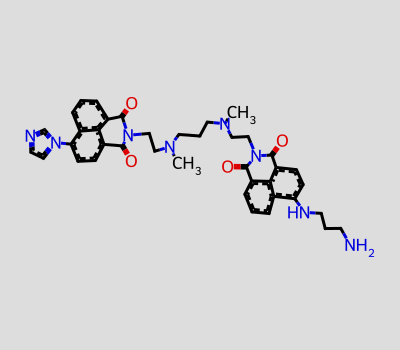 CN(CCCN(C)CCN1C(=O)c2cccc3c(-n4ccnc4)ccc(c23)C1=O)CCN1C(=O)c2cccc3c(NCCCN)ccc(c23)C1=O